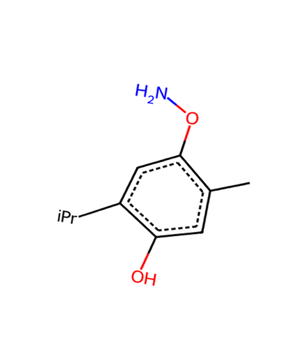 Cc1cc(O)c(C(C)C)cc1ON